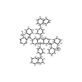 C[Si]1(C)c2ccccc2N(c2ccc3c(-c4ccc(-c5cccc6ccccc56)cc4)c4cc(N5c6ccccc6[Si](C)(C)c6ccccc65)ccc4c(-c4ccc(-c5cccc6ccccc56)cc4)c3c2)c2ccccc21